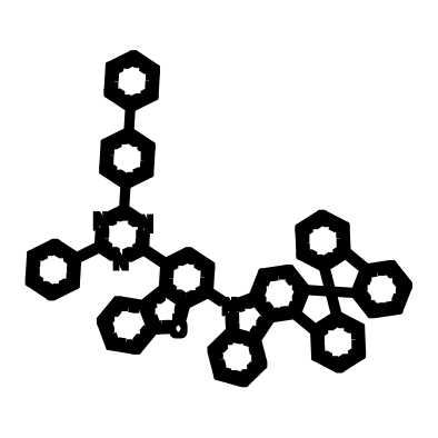 c1ccc(-c2ccc(-c3nc(-c4ccccc4)nc(-c4ccc(-n5c6ccccc6c6c7c(ccc65)C5(c6ccccc6-c6ccccc65)c5ccccc5-7)c5oc6ccccc6c45)n3)cc2)cc1